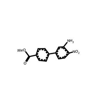 COC(=O)c1ccc(-c2ccc([N+](=O)[O-])c(N)c2)cc1